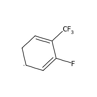 FC1=C[CH]CC=C1C(F)(F)F